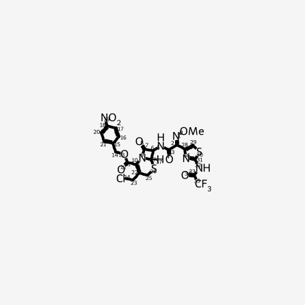 CON=C(C(=O)NC1C(=O)N2C(C(=O)OCc3ccc([N+](=O)[O-])cc3)=C(CCl)CS[C@@H]12)c1csc(NC(=O)C(F)(F)F)n1